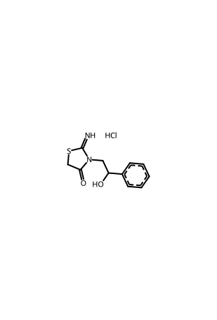 Cl.N=C1SCC(=O)N1CC(O)c1ccccc1